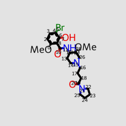 COc1ccc(Br)c(O)c1C(=O)N[C@@H]1CCN(CCCC(=O)N2CCCC2)C[C@@H]1OC